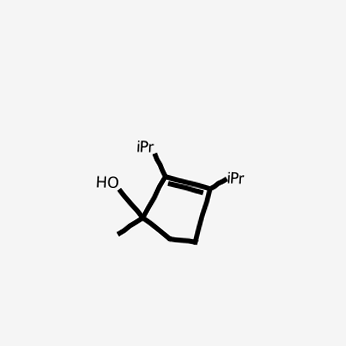 CC(C)C1=C(C(C)C)C(C)(O)CC1